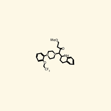 COCCC(=O)C(C1CCc2ccccc2N1)N1CCN(c2ccccc2OCC(F)(F)F)CC1